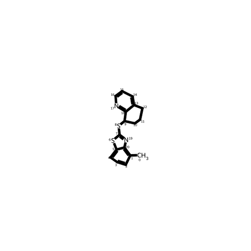 Cc1cccc2sc(SC3CCCc4cccnc43)nc12